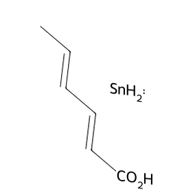 CC=CC=CC(=O)O.[SnH2]